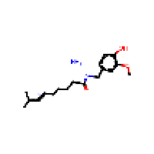 COc1cc(CNC(=O)CCCC/C=C/C(C)C)ccc1O.N